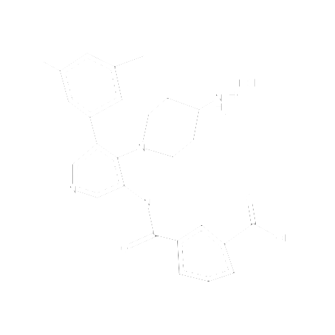 Cc1cc(C)cc(-c2cncc(NC(=O)c3cccc(C(=O)O)c3)c2N2CCC(N)CC2)c1.Cl.Cl